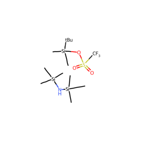 CC(C)(C)[Si](C)(C)OS(=O)(=O)C(F)(F)F.C[Si](C)(C)N[Si](C)(C)C